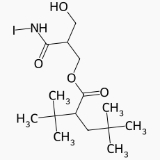 CC(C)(C)CC(C(=O)OCC(CO)C(=O)NI)C(C)(C)C